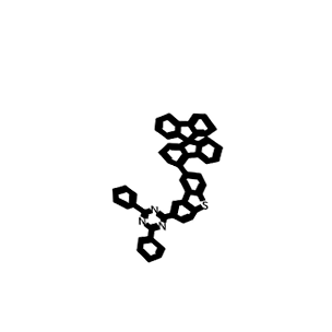 c1ccc(-c2nc(-c3ccccc3)nc(-c3ccc4sc5ccc(-c6cccc7c6-c6ccccc6C76c7ccccc7-c7ccccc76)cc5c4c3)n2)cc1